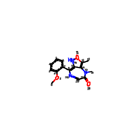 COc1ccccc1C1=C2NOC(C)=C2N(C)C(=O)C=N1